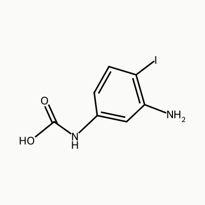 Nc1cc(NC(=O)O)ccc1I